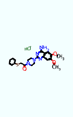 COc1cc2nc(N3CCN(C(=O)CSc4ccccc4)CC3)nc(N)c2cc1OC.Cl